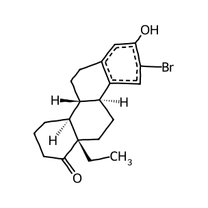 CC[C@]12CC[C@@H]3c4cc(Br)c(O)cc4CC[C@H]3[C@@H]1CCCC2=O